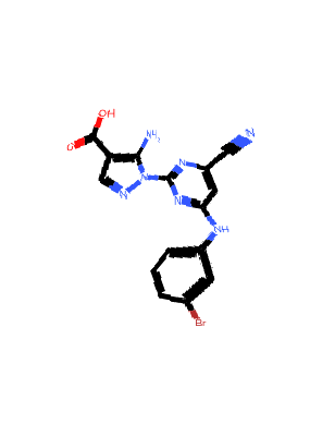 N#Cc1cc(Nc2cccc(Br)c2)nc(-n2ncc(C(=O)O)c2N)n1